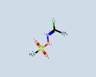 C/C(Cl)=N\OS(C)(=O)=O